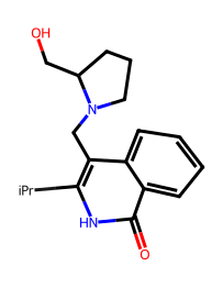 CC(C)c1[nH]c(=O)c2ccccc2c1CN1CCCC1CO